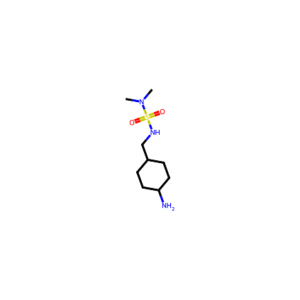 CN(C)S(=O)(=O)NCC1CCC(N)CC1